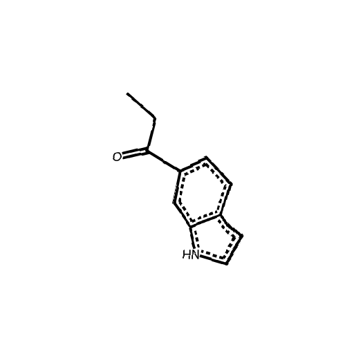 CCC(=O)c1ccc2cc[nH]c2c1